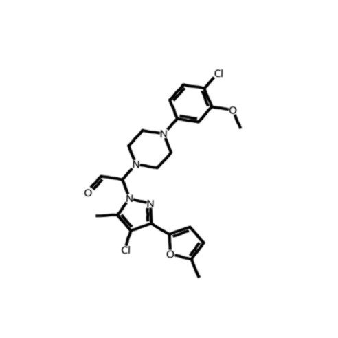 COc1cc(N2CCN(C(C=O)n3nc(-c4ccc(C)o4)c(Cl)c3C)CC2)ccc1Cl